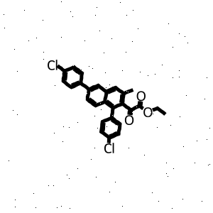 CCOC(=O)C(=O)c1c(C)cc2cc(-c3ccc(Cl)cc3)ccc2c1-c1ccc(Cl)cc1